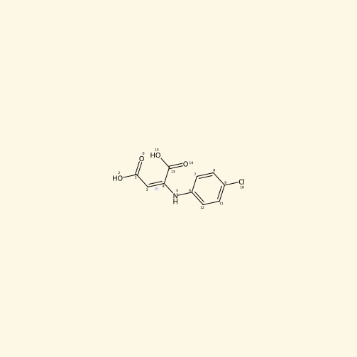 O=C(O)/C=C(/Nc1ccc(Cl)cc1)C(=O)O